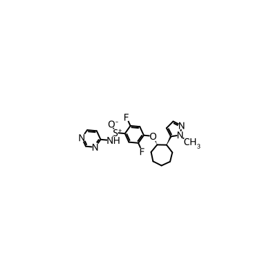 Cn1nccc1[C@H]1CCCCC[C@@H]1Oc1cc(F)c([S+]([O-])Nc2ccncn2)cc1F